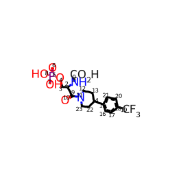 O=C(O)NC(COP(=O)(O)O)C(=O)N1CCC(c2ccc(C(F)(F)F)cc2)CC1